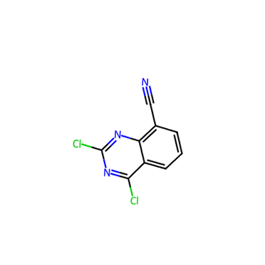 N#Cc1cccc2c(Cl)nc(Cl)nc12